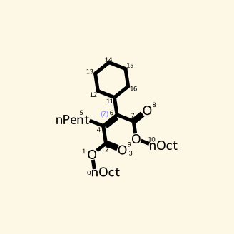 CCCCCCCCOC(=O)/C(CCCCC)=C(\C(=O)OCCCCCCCC)C1CCCCC1